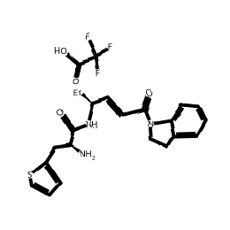 CC[C@@H](/C=C/C(=O)N1CCc2ccccc21)NC(=O)[C@@H](N)Cc1cccs1.O=C(O)C(F)(F)F